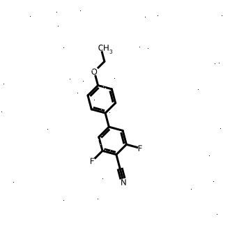 CCOc1ccc(-c2cc(F)c(C#N)c(F)c2)cc1